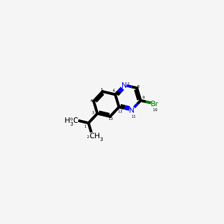 CC(C)c1ccc2ncc(Br)nc2c1